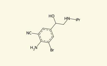 CC(C)NCC(O)c1cc(Br)c(N)c(C#N)c1